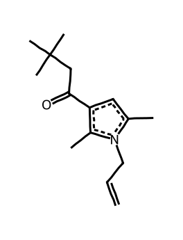 C=CCn1c(C)cc(C(=O)CC(C)(C)C)c1C